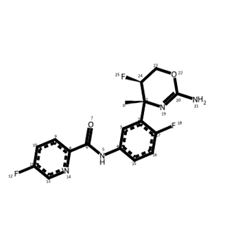 C[C@]1(c2cc(NC(=O)c3ccc(F)cn3)ccc2F)N=C(N)OC[C@@H]1F